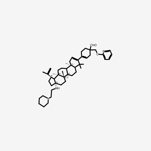 C=C(C)[C@@H]1CC[C@]2(NCCN3CCCCC3)CC[C@]3(C)[C@](C)(CCC4[C@@]5(C)CC=C(C6=CCC(C=O)(COc7ccccn7)CC6)C(C)(C)C5CC[C@]43C)C12